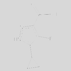 O=C(O)c1n[nH]c(C2CC2)c1F